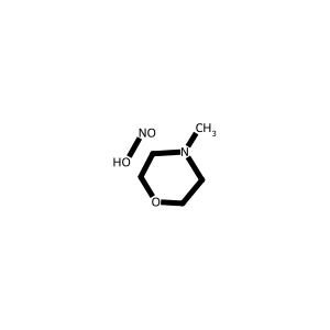 CN1CCOCC1.O=NO